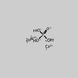 O=P(O)(O)O.[Al+3].[Ca+2].[Zn+2]